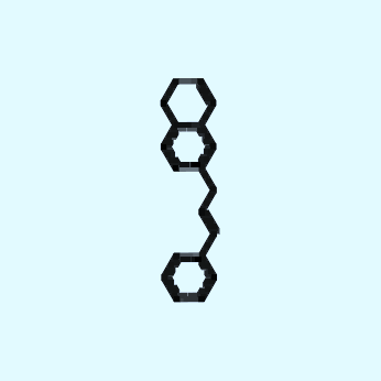 C1=Cc2cc(CC=Cc3ccccc3)ccc2CC1